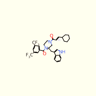 O=C(/C=C/C1CCCCC1)N1CCN(C(=O)c2cc(C(F)(F)F)cc(C(F)(F)F)c2)[C@H](Cc2c[nH]c3ccccc23)C1